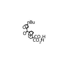 CCCCc1coc(C(=O)c2ccc3n2CCC3(C(=O)O)C(=O)O)c1